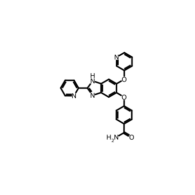 NC(=O)c1ccc(Oc2cc3nc(-c4ccccn4)[nH]c3cc2Oc2cccnc2)cc1